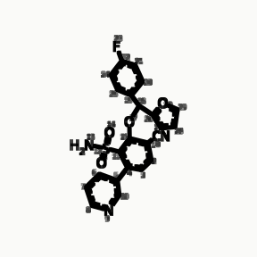 N#Cc1ccc(-c2cccnc2)c(S(N)(=O)=O)c1OC(c1ccc(F)cc1)c1ccco1